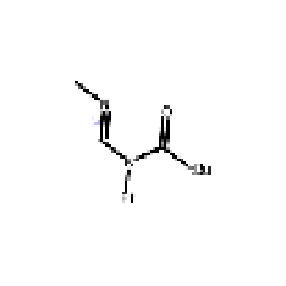 CCN(/C=N/C)C(=O)C(C)(C)C